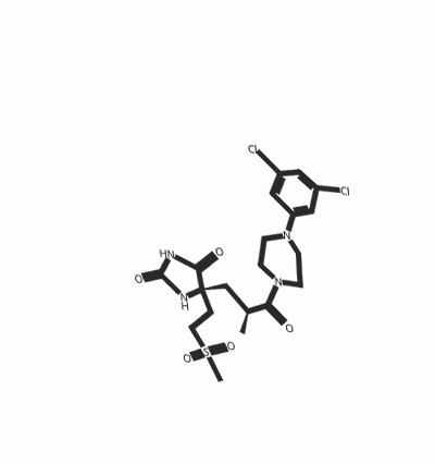 C[C@@H](C[C@@]1(CCS(C)(=O)=O)NC(=O)NC1=O)C(=O)N1CCN(c2cc(Cl)cc(Cl)c2)CC1